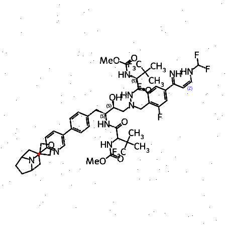 COC(=O)NC(C(=O)N[C@@H](Cc1ccc(-c2ccc(C3CC4CCC(C3)N4C3COC3)nc2)cc1)[C@@H](O)CN(Cc1c(F)cc(C(=N)/C=C\NC(F)F)cc1F)NC(=O)[C@@H](NC(=O)OC)C(C)(C)C(F)(F)F)C(C)(C)C(F)(F)F